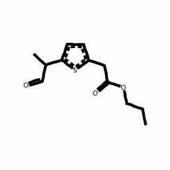 CCCOC(=O)Cc1ccc(C(C)C=O)s1